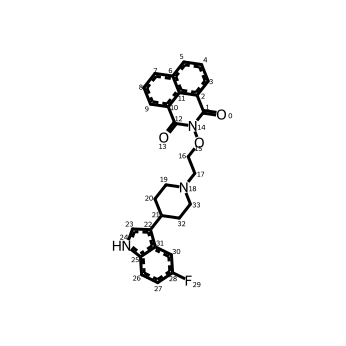 O=C1c2cccc3cccc(c23)C(=O)N1OCCN1CCC(c2c[nH]c3ccc(F)cc23)CC1